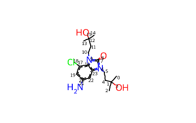 CC(C)(O)CCn1c(=O)n(CCC(C)(C)O)c2c(Cl)cc(N)cc21